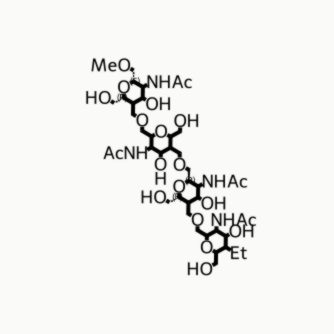 CCC1C(CO)OC(COCC2C(O)C(NC(C)=O)[C@H](COCC3C(CO)OC(COCC4C(O)C(NC(C)=O)[C@@H](COC)O[C@H]4CO)C(NC(C)=O)C3O)O[C@H]2CO)C(NC(C)=O)C1O